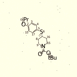 CC(C)Oc1ccc(SC2CCN(C(=O)OC(C)(C)C)CC2)cc1